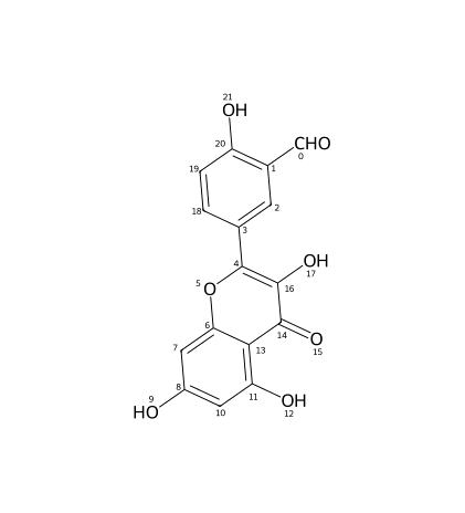 O=Cc1cc(-c2oc3cc(O)cc(O)c3c(=O)c2O)ccc1O